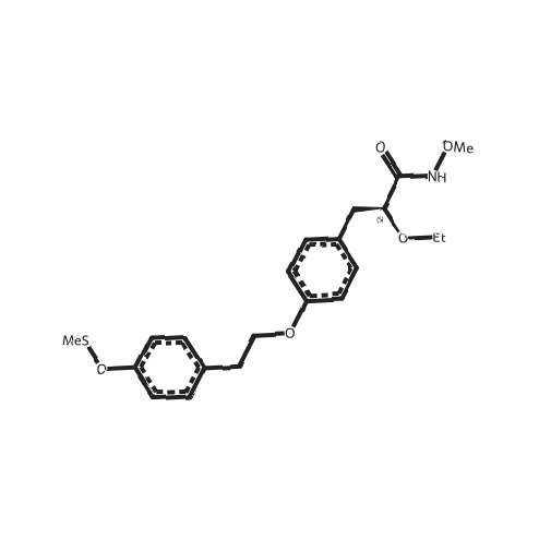 CCO[C@@H](Cc1ccc(OCCc2ccc(OSC)cc2)cc1)C(=O)NOC